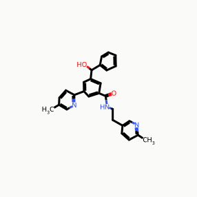 Cc1ccc(-c2cc(C(=O)NCCc3ccc(C)nc3)cc(C(O)c3ccccc3)c2)nc1